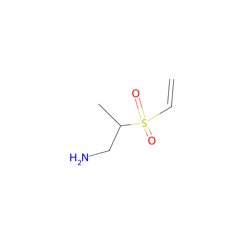 C=CS(=O)(=O)C(C)CN